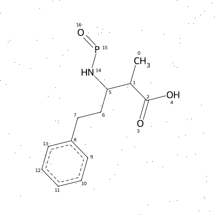 CC(C(=O)O)C(CCc1ccccc1)NP=O